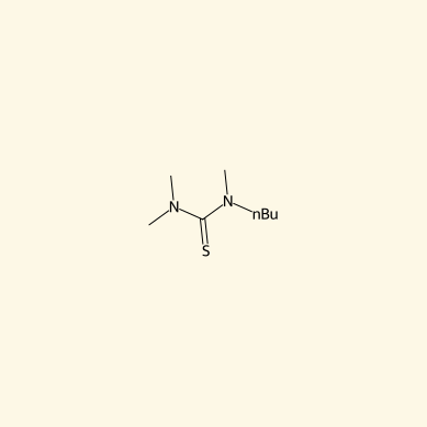 CCCCN(C)C(=S)N(C)C